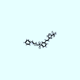 O=S(=O)(NC/C=C/c1ccccc1)c1cccc(C=Cc2noc(C(F)(F)F)n2)c1